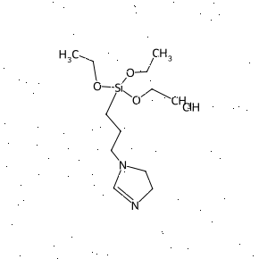 CCO[Si](CCCN1C=NCC1)(OCC)OCC.Cl